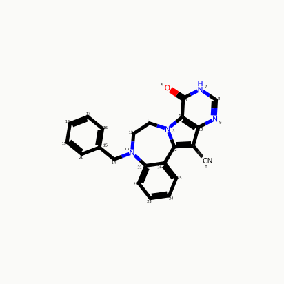 N#Cc1c2n(c3c(=O)[nH]cnc13)CCN(Cc1ccccc1)c1ccccc1-2